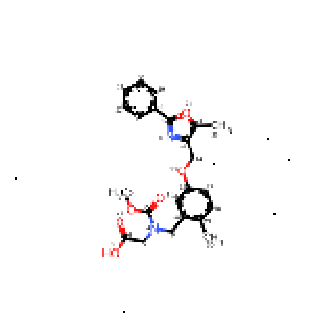 COC(=O)N(CC(=O)O)Cc1cc(OCc2nc(-c3ccccc3)oc2C)ccc1C